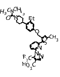 CCc1cc(OCc2cc(C)sc2-c2cccc(-n3ncc(C(=O)O)c3C(F)(F)F)n2)ccc1C1CCN(C(=O)N(C)C)CC1